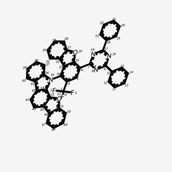 FC(F)(F)c1cc(-c2nc(-c3ccccc3)nc(-c3ccccc3)n2)c2oc3ccccc3c2c1-n1c2ccccc2c2ccc3c4ccccc4oc3c21